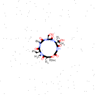 CCCCCCCCCC[C@H]1OC(=O)CNC(=O)[C@H](C(C)(C)O)NC(=O)[C@H](CO)NC(=O)[C@H](C(C)CC)NC(=O)[C@H](CC(C)C)N(C)C(=O)[C@@H]1C